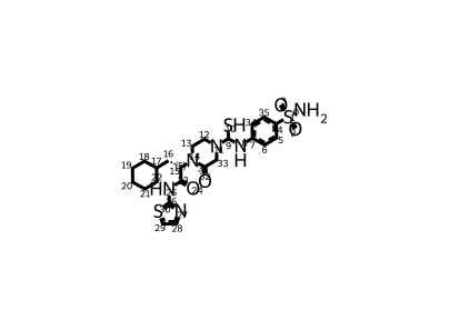 NS(=O)(=O)c1ccc(NC(S)N2CCN([C@@H](CC3CCCCC3)C(=O)Nc3nccs3)C(=O)C2)cc1